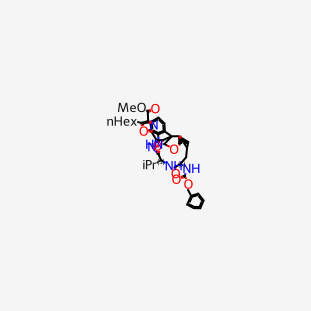 CCCCCCc1oc(-c2nc3oc2C24c5ccccc5NC2Oc2ccc(cc24)C[C@H](NC(=O)OCc2ccccc2)C(=O)N[C@H]3C(C)C)nc1C(=O)OC